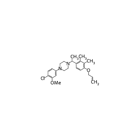 C=CCOc1ccc(C(C)N2CCN(c3ccc(Cl)c(OC)c3)CC2)c(C)c1C